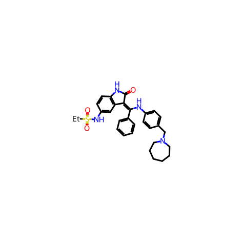 CCS(=O)(=O)Nc1ccc2c(c1)/C(=C(/Nc1ccc(CN3CCCCCC3)cc1)c1ccccc1)C(=O)N2